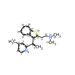 C=C(c1cc(C)ccn1)c1c(CCN(C)C)sc2ccccc12